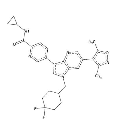 Cc1noc(C)c1-c1cnc2c(-c3ccc(C(=O)NC4CC4)nc3)cn(CC3CCC(F)(F)CC3)c2c1